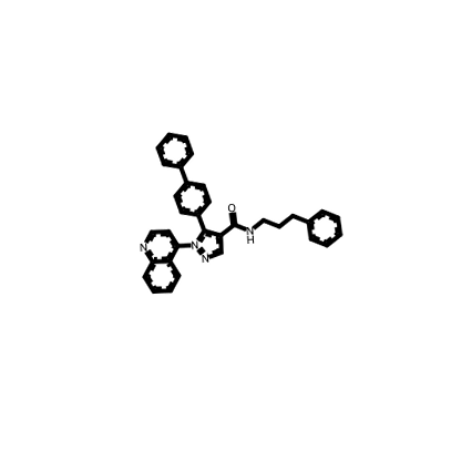 O=C(NCCCc1ccccc1)c1cnn(-c2ccnc3ccccc23)c1-c1ccc(-c2ccccc2)cc1